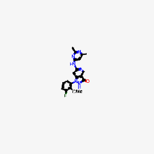 COc1c(F)cccc1-n1[nH]c(=O)c2cnc(Nc3cc(C)nc(C)n3)cc21